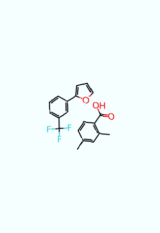 Cc1ccc(C(=O)O)c(C)c1.FC(F)(F)c1cccc(-c2ccco2)c1